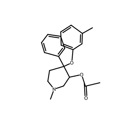 CC(=O)OC1CN(C)CCC1(Oc1cccc(C)c1)c1ccccc1